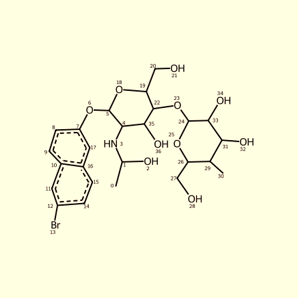 CC(O)NC1C(Oc2ccc3cc(Br)ccc3c2)OC(CO)C(OC2OC(CO)C(C)C(O)C2O)C1O